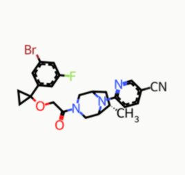 C[C@H]1CC2CN(C(=O)COC3(c4cc(F)cc(Br)c4)CC3)CC1N2c1ccc(C#N)cn1